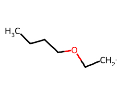 [CH2]COCCCC